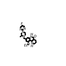 CCOc1cc(CN2CCN(c3ncc(F)cn3)CC2C)cc2[nH]c(=O)c3c(c12)NCCC3